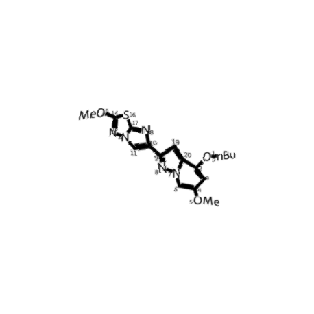 CCCCOc1cc(OC)cn2nc(-c3cn4nc(OC)sc4n3)cc12